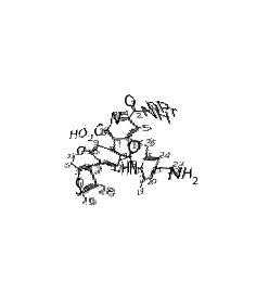 CCCNC(=O)c1ccc(-c2cc3c(cc2C(=O)Nc2c(C)cc(CN)cc2C)-c2ccsc2CCO3)c(C(=O)O)n1